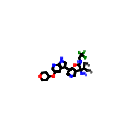 CC(C)[C@](N)(C(=O)NCC(F)(F)F)c1cncc(-c2c[nH]c3ncc(OC4CCOCC4)cc23)c1